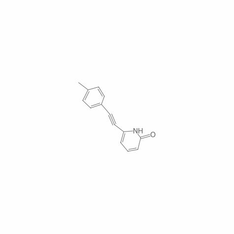 Cc1ccc(C#Cc2cccc(=O)[nH]2)cc1